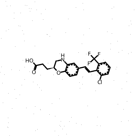 O=C(O)CC[C@H]1CNc2cc(/C=C/c3c(Cl)cccc3C(F)(F)F)ccc2O1